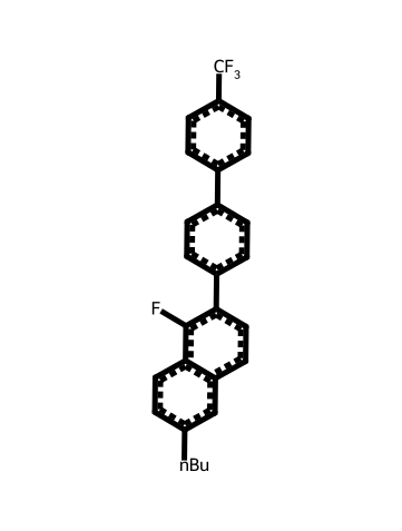 CCCCc1ccc2c(F)c(-c3ccc(-c4ccc(C(F)(F)F)cc4)cc3)ccc2c1